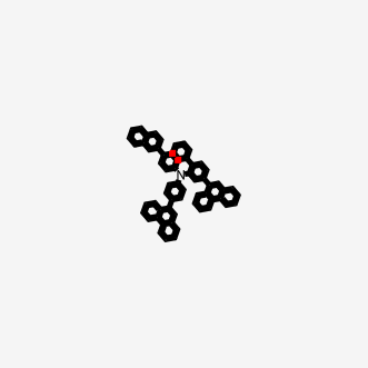 c1ccc(-c2ccc(-c3cc4ccccc4c4ccccc34)cc2N(c2ccc(-c3ccc4ccccc4c3)cc2)c2ccc(-c3cc4ccccc4c4ccccc34)cc2)cc1